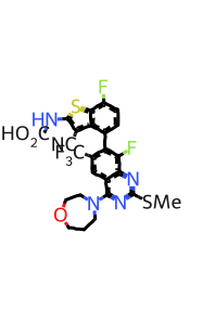 CSc1nc(N2CCCOCC2)c2cc(C(F)(F)F)c(-c3ccc(F)c4sc(NC(=O)O)c(C#N)c34)c(F)c2n1